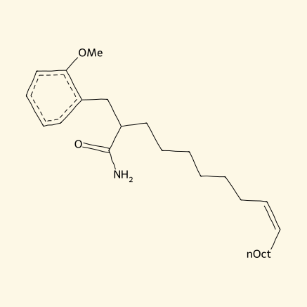 CCCCCCCC/C=C\CCCCCCC(Cc1ccccc1OC)C(N)=O